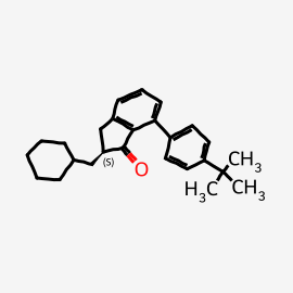 CC(C)(C)c1ccc(-c2cccc3c2C(=O)[C@@H](CC2CCCCC2)C3)cc1